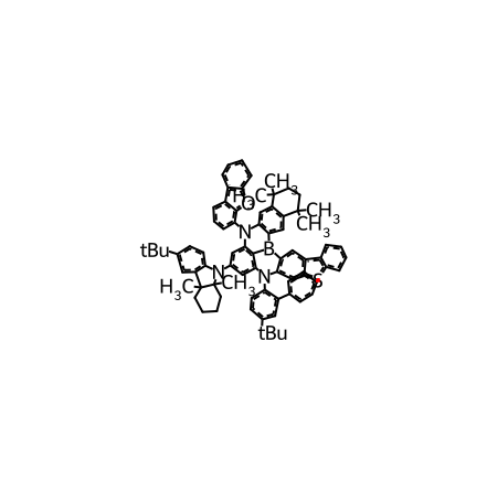 CC(C)(C)c1ccc(N2c3cc4sc5ccccc5c4cc3B3c4cc5c(cc4N(c4cccc6c4oc4ccccc46)c4cc(N6c7ccc(C(C)(C)C)cc7C7(C)CCCCC67C)cc2c43)C(C)(C)CCC5(C)C)c(-c2ccccc2)c1